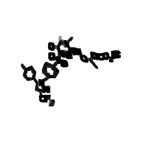 CCOC(=O)OC(C)ON=[N+]([O-])N(C)[C@@H](C)C(=O)NS(=O)(=O)c1ccc(-n2nc(C(F)(F)F)cc2-c2ccc(C)cc2)cc1